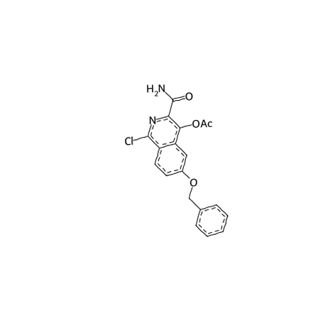 CC(=O)Oc1c(C(N)=O)nc(Cl)c2ccc(OCc3ccccc3)cc12